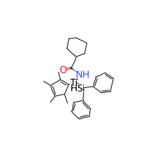 CC1=C(C)C(C)[C]([Ti]([NH]C(=O)C2CCCCC2)[SiH](c2ccccc2)c2ccccc2)=C1C